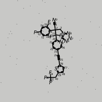 N#CC(Cn1cnnn1)(c1ccc(F)cc1F)C(F)(F)c1ccc(C#Cc2ccc(CC(F)(F)F)s2)cn1